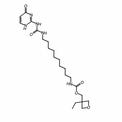 CCC1(COC(=O)NCCCCCCCCCCNC(=O)Nc2nc(=O)cc[nH]2)COC1